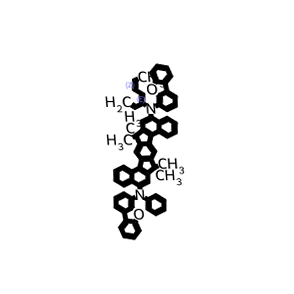 C=C/C(=C\C=C/C)N(c1cc2c(c3ccccc13)-c1cc3c(cc1C2(C)C)-c1c(cc(N(c2ccccc2)c2cccc4c2oc2ccccc24)c2ccccc12)C3(C)C)c1cccc2c1oc1ccccc12